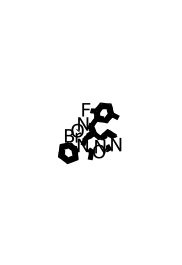 CC(=O)N(c1ccccc1Br)c1onc(-c2cc(C)ccc2F)c1-c1ccncn1